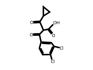 O=C(O)C(C(=O)c1ccc(Cl)c(Cl)c1)C(=O)C1CC1